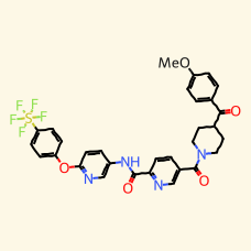 COc1ccc(C(=O)C2CCN(C(=O)c3ccc(C(=O)Nc4ccc(Oc5ccc(S(F)(F)(F)(F)F)cc5)nc4)nc3)CC2)cc1